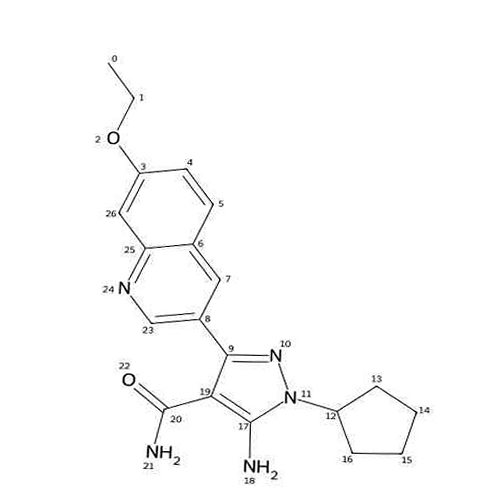 CCOc1ccc2cc(-c3nn(C4CCCC4)c(N)c3C(N)=O)cnc2c1